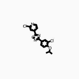 CC(C)Oc1ccc(-c2noc(-c3ccnc(Cl)c3)n2)cc1Cl